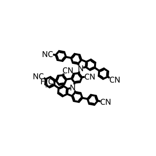 N#Cc1ccc(-c2ccc3c4ccc(-c5ccc(C#N)cc5)cc4n(-c4cc(-c5ccc(C(F)(F)F)cc5C#N)c(-n5c6cc(-c7ccc(C#N)cc7)ccc6c6ccc(-c7ccc(C#N)cc7)cc65)cc4C#N)c3c2)cc1